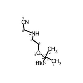 CC(C)(C)[Si](C)(C)OCCNCC#N